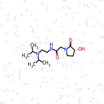 CC(C)N(CCNC(=O)CN1CC[C@@H](O)C1=O)C(C)C